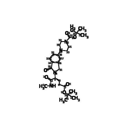 CNC(=O)[C@H](CCC(=O)OC(C)(C)C)N1Cc2cc(N3CCN(C(=O)OC(C)(C)C)CC3)ccc2C1=O